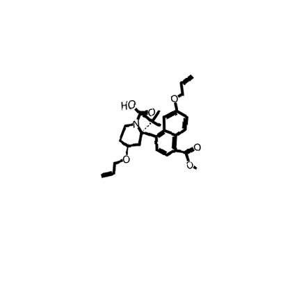 C=CCOc1ccc2c(C(=O)OC)ccc([C@@]3(C(C)(C)C)C[C@@H](OCC=C)CCN3C(=O)O)c2c1